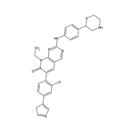 CCn1c(=O)c(-c2ccc(C3=CN=CC3)cc2Cl)cc2cnc(Nc3ccc(C4CNCCO4)cc3)nc21